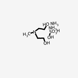 CN(CCO)CCO.N.N.O=S(=O)(O)O